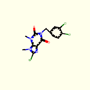 Cn1c(Br)nc2c(=O)n(Cc3ccc(Cl)c(Cl)c3)c(=O)n(C)c21